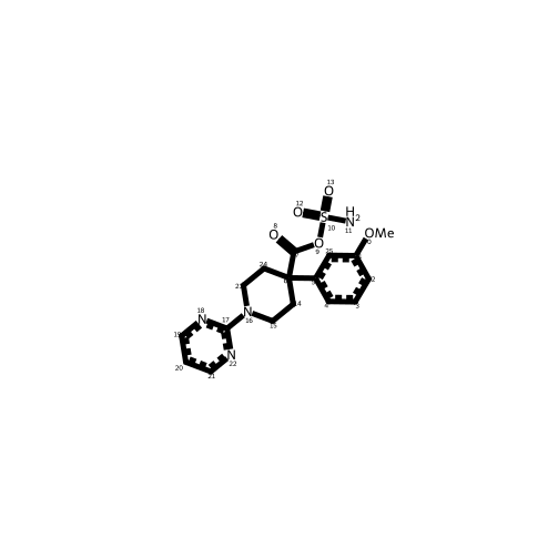 COc1cccc(C2(C(=O)OS(N)(=O)=O)CCN(c3ncccn3)CC2)c1